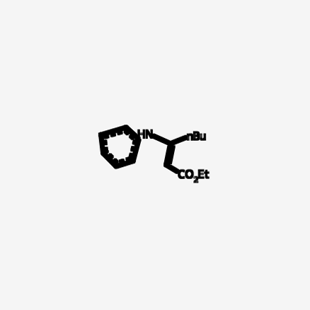 CCCCC(=CC(=O)OCC)Nc1ccccc1